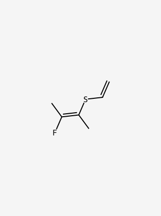 C=CS/C(C)=C(\C)F